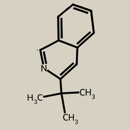 CC(C)(C)c1cc2ccccc2[c]n1